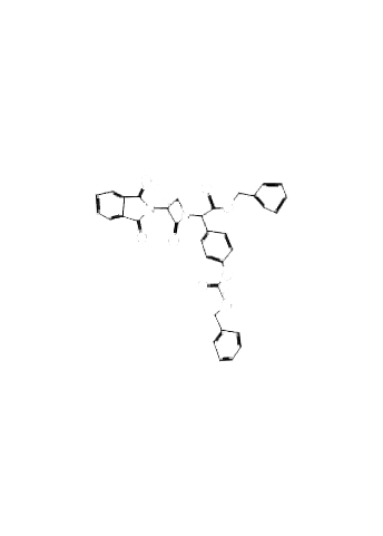 O=C(OCc1ccccc1)Oc1ccc(C(C(=O)OCc2ccccc2)N2CC(N3C(=O)c4ccccc4C3=O)C2=O)cc1